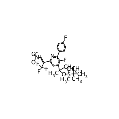 CC(C)(O[Si](C)(C)C(C)(C)C)c1cc(/C(=C/[N+](=O)[O-])C(F)(F)F)nc(-c2ccc(F)cc2)c1F